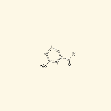 COc1cccc(C([O])Br)c1